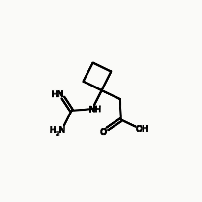 N=C(N)NC1(CC(=O)O)CCC1